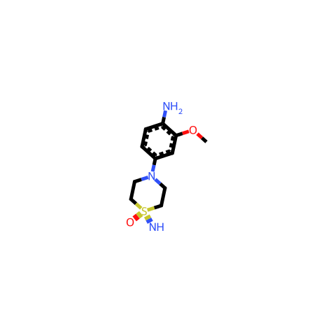 COc1cc(N2CCS(=N)(=O)CC2)ccc1N